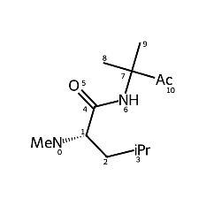 CN[C@@H](CC(C)C)C(=O)NC(C)(C)C(C)=O